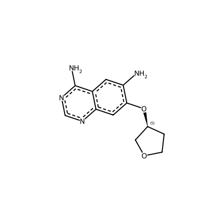 Nc1cc2c(N)ncnc2cc1O[C@H]1CCOC1